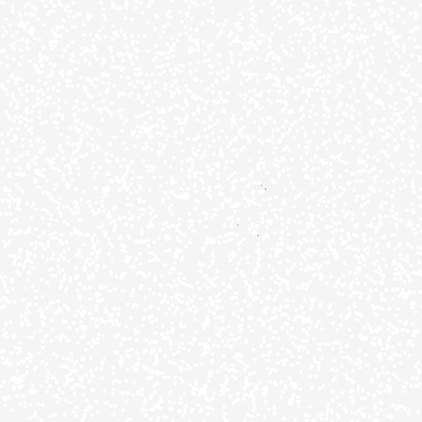 Clc1ccccc1C1(Cl)N=[C]N=N1